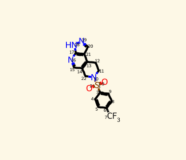 O=S(=O)(c1ccc(C(F)(F)F)cc1)N1CCc2c(cnc3[nH]ncc23)C1